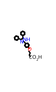 O=C(O)CCCOc1ccc(-c2nc(-c3ccccc3)c(-c3ccccc3)[nH]2)cc1